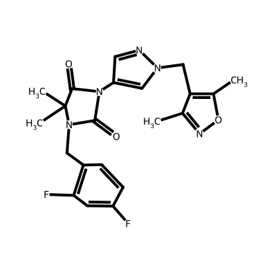 Cc1noc(C)c1Cn1cc(N2C(=O)N(Cc3ccc(F)cc3F)C(C)(C)C2=O)cn1